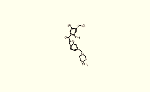 CCCCOc1cc(O)c(C(=O)N2Cc3ccc(CN4CCN(C)CC4)cc3C2)cc1C(C)C